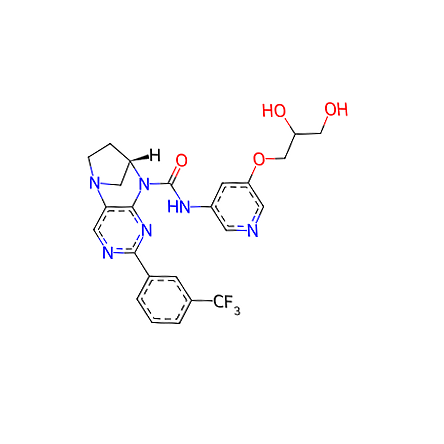 O=C(Nc1cncc(OCC(O)CO)c1)N1c2nc(-c3cccc(C(F)(F)F)c3)ncc2N2CC[C@H]1C2